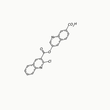 O=C(O)c1ccc2cc(OC(=O)c3cc4ccccc4nc3Cl)cnc2c1